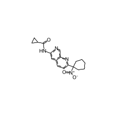 O=C(Nc1cc2ccc(C3([N+](=O)[O-])CCCCC3)nc2cn1)C1CC1